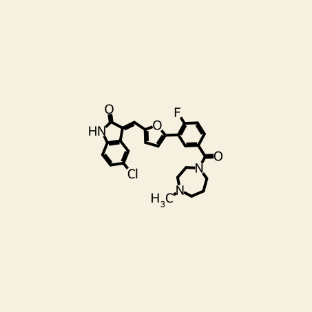 CN1CCCN(C(=O)c2ccc(F)c(-c3ccc(/C=C4/C(=O)Nc5ccc(Cl)cc54)o3)c2)CC1